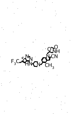 Cc1c(CN2CCC(Nc3ncnc4sc(CC(F)(F)F)cc34)CC2)ccc2c1cc(C#N)n2CC1CNC(=O)CO1